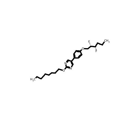 CCCCCCCCOc1ncc(-c2ccc(OC[C@H](F)[C@@H](F)CCC)cc2)cn1